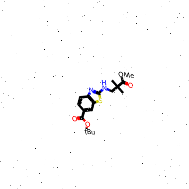 COC(=O)C(C)(C)CNc1nc2ccc(C(=O)OC(C)(C)C)cc2s1